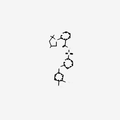 COc1ccc(Oc2cccc(S(=O)(=O)NC(=O)c3cccnc3N3CC(C)CC3(C)C)n2)cc1OC